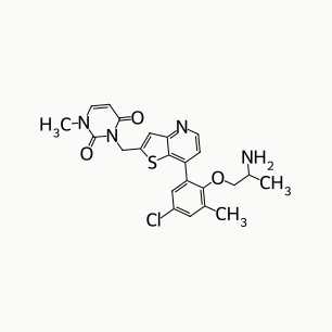 Cc1cc(Cl)cc(-c2ccnc3cc(Cn4c(=O)ccn(C)c4=O)sc23)c1OCC(C)N